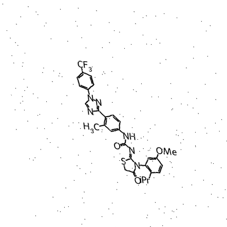 COc1ccc(C(C)C)c(N2C(=O)CS/C2=N\C(=O)Nc2ccc(-c3ncn(-c4ccc(C(F)(F)F)cc4)n3)c(C)c2)c1